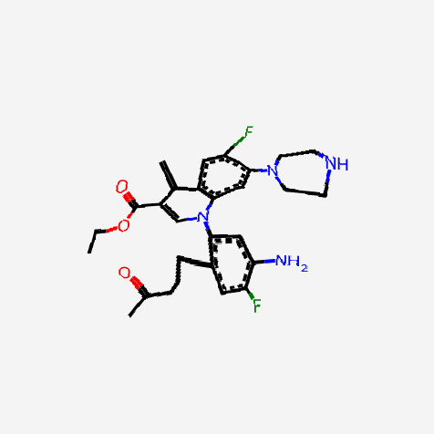 C=C1C(C(=O)OCC)=CN(c2cc(N)c(F)cc2CCC(C)=O)c2cc(N3CCNCC3)c(F)cc21